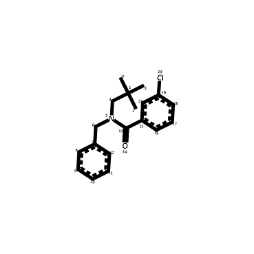 CC(C)(C)CN(Cc1ccccc1)C(=O)c1cccc(Cl)c1